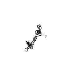 Cc1nn(CCCOC2CCCCO2)c(=O)n1-c1ccc(N2CCN(c3ccc(OC[C@@H]4CO[C@@](Cn5cncn5)(c5ccc(Cl)cc5Cl)O4)cc3)CC2)cc1